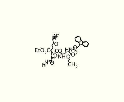 C=CCOC(=O)[C@H](CCC(=O)N[C@@H](CCC(=O)C=[N+]=[N-])C(=O)N[C@@H](CCC(=O)C=[N+]=[N-])C(=O)OCC)NC(=O)OCC1c2ccccc2-c2ccccc21